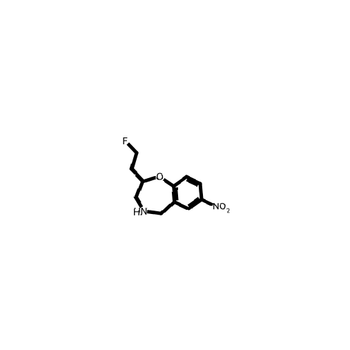 O=[N+]([O-])c1ccc2c(c1)CNCC(CCF)O2